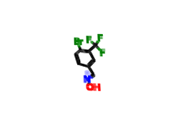 O/N=C/c1ccc(Br)c(C(F)(F)F)c1